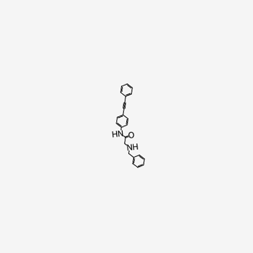 O=C(CNCc1ccccc1)Nc1ccc(C#Cc2ccccc2)cc1